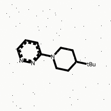 CC(C)(C)C1CCN(c2cc[c]nn2)CC1